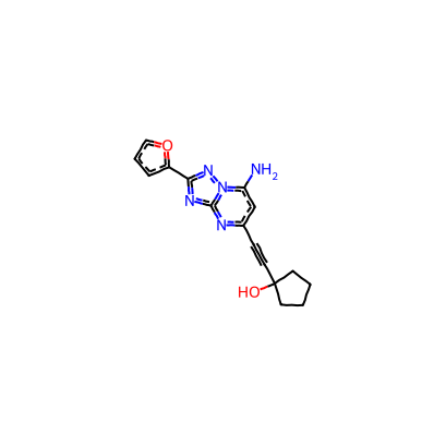 Nc1cc(C#CC2(O)CCCC2)nc2nc(-c3ccco3)nn12